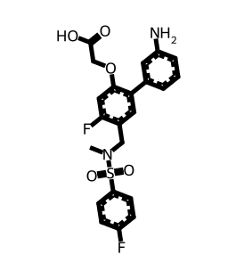 CN(Cc1cc(-c2cccc(N)c2)c(OCC(=O)O)cc1F)S(=O)(=O)c1ccc(F)cc1